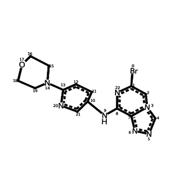 Brc1cn2cnnc2c(Nc2ccc(N3CCOCC3)nc2)n1